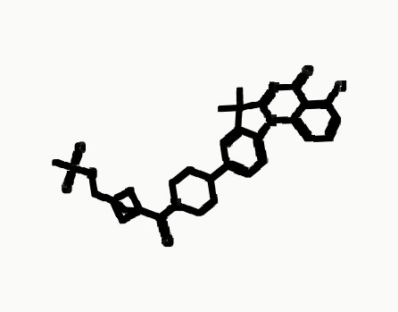 CC1(C)c2cc(C3CCN(C(=O)C45CC(COS(C)(=O)=O)(C4)C5)CC3)ccc2-n2c1nc(=O)c1c(Cl)cccc12